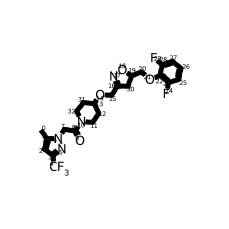 Cc1cc(C(F)(F)F)nn1CC(=O)N1CCC(OCC2=NOC(COc3c(F)cccc3F)C2)CC1